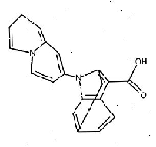 O=C(O)c1c2n(C3=CC4=CCC=CN4C=C3)c3cc(ccc13)C2